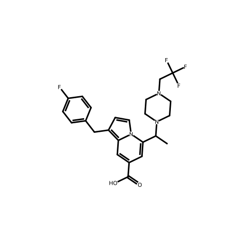 CC(c1cc(C(=O)O)cc2c(Cc3ccc(F)cc3)ccn12)N1CCN(CC(F)(F)F)CC1